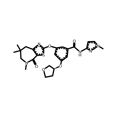 CN1CC(C)(C)Cc2nc(Oc3cc(O[C@H]4CCOC4)cc(C(=O)Nc4ccn(C)n4)c3)sc2C1=O